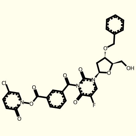 O=C(On1cc(Cl)ccc1=O)c1cccc(C(=O)n2c(=O)c(F)cn([C@H]3C[C@H](OCc4ccccc4)[C@@H](CO)O3)c2=O)c1